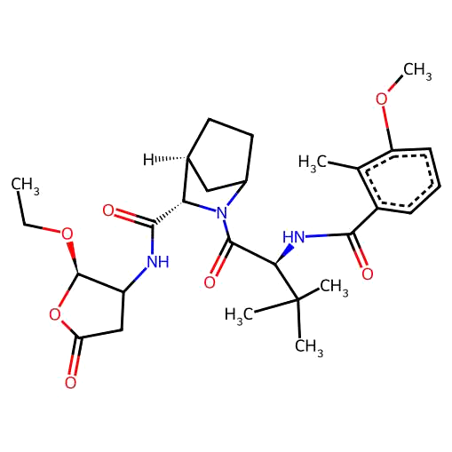 CCO[C@@H]1OC(=O)CC1NC(=O)[C@@H]1[C@H]2CCC(C2)N1C(=O)[C@@H](NC(=O)c1cccc(OC)c1C)C(C)(C)C